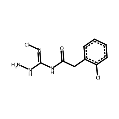 NNC(=NCl)NC(=O)Cc1ccccc1Cl